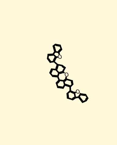 c1ccc2c(c1)oc1c(-c3ccc4oc5ccc(-c6cccc7c6oc6ccccc67)c6cccc(c7cccc3c47)c56)cccc12